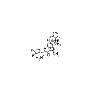 BC(B)(Oc1cccn2c(C(=O)NC(CN)c3ccc(F)c(F)c3)c(C)nc12)c1c(F)cccc1F